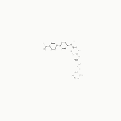 N=C(N)c1ccc(-c2ccc(C(=O)N3CCC(CC(=O)OCCN4CCSCC4)CC3)cc2)cc1